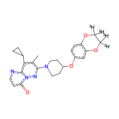 [2H]C1([2H])Oc2ccc(OC3CCN(c4nn5c(=O)ccnc5c(C5CC5)c4C)CC3)cc2OC1([2H])[2H]